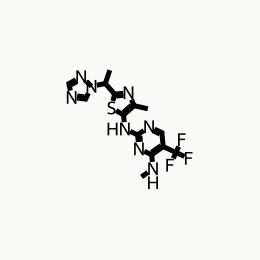 CNc1nc(Nc2sc(C(C)n3cncn3)nc2C)ncc1C(F)(F)F